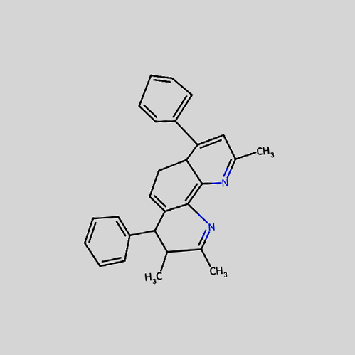 CC1=NC2=C3N=C(C)C(C)C(c4ccccc4)C3=CCC2C(c2ccccc2)=C1